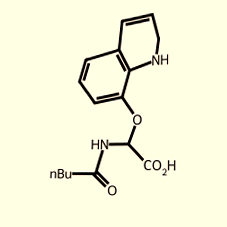 CCCCC(=O)NC(Oc1cccc2c1NCC=C2)C(=O)O